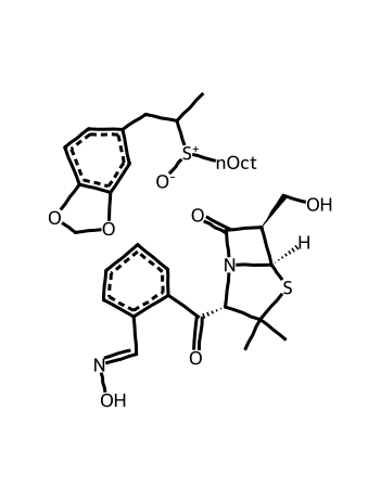 CC1(C)S[C@@H]2[C@H](CO)C(=O)N2[C@H]1C(=O)c1ccccc1/C=N/O.CCCCCCCC[S+]([O-])C(C)Cc1ccc2c(c1)OCO2